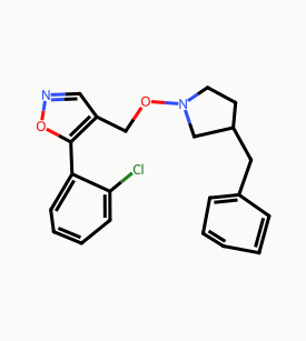 Clc1ccccc1-c1oncc1CON1CCC(Cc2ccccc2)C1